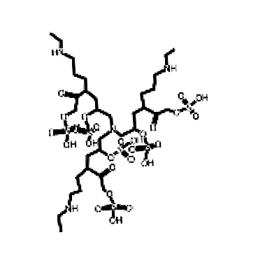 CCNCCCC(CC(CN(CC(CC(CCCNCC)C(=O)COS(=O)(=O)O)OS(=O)(=O)O)CC(CC(CCCNCC)C(=O)COS(=O)(=O)O)OS(=O)(=O)O)OS(=O)(=O)O)C(=O)COS(=O)(=O)O